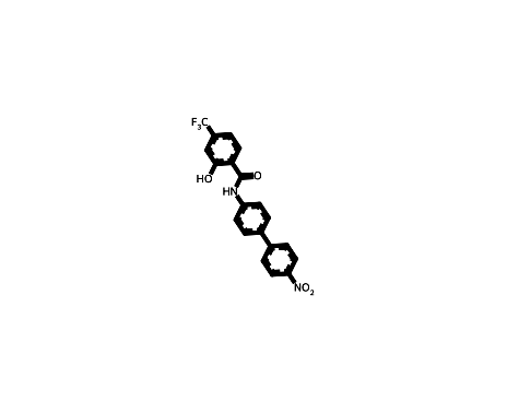 O=C(Nc1ccc(-c2ccc([N+](=O)[O-])cc2)cc1)c1ccc(C(F)(F)F)cc1O